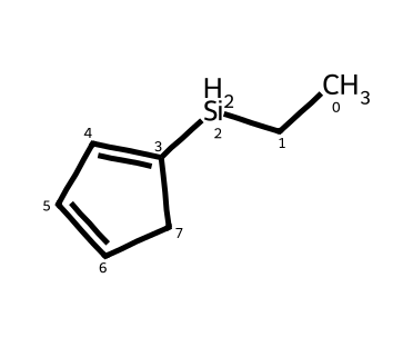 CC[SiH2]C1=CC=CC1